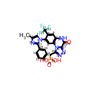 Cc1cn(-c2cc3c(cc2C(F)(F)F)[nH]c(=O)c2nnc(CP(=O)(O)O)n23)c(-c2ccccc2)n1